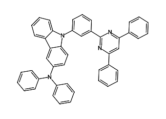 c1ccc(-c2cc(-c3ccccc3)nc(-c3cccc(-n4c5ccccc5c5cc(N(c6ccccc6)c6ccccc6)ccc54)c3)n2)cc1